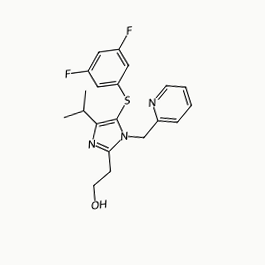 CC(C)c1nc(CCO)n(Cc2ccccn2)c1Sc1cc(F)cc(F)c1